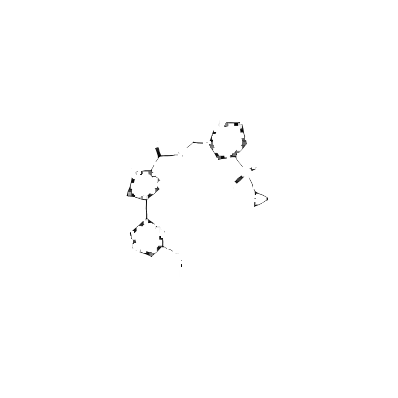 CCOc1cncc(-c2cnc(C(=O)NCc3cc(S(=O)(=O)C4CC4)ccn3)s2)n1